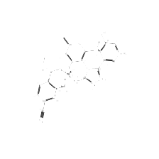 C=C/C=C(OC)\C(=C(/C)OC)n1c(NS(=O)(=O)[C@@H](C)[C@H](OC)c2ccc(C#N)cc2F)nnc1-c1cncc(C)c1